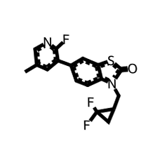 Cc1cnc(F)c(-c2ccc3c(c2)sc(=O)n3CC2CC2(F)F)c1